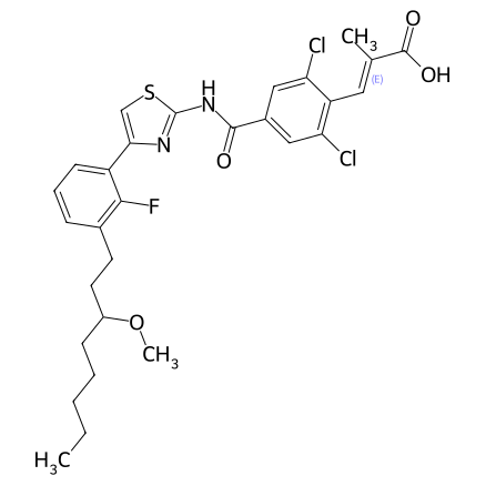 CCCCCC(CCc1cccc(-c2csc(NC(=O)c3cc(Cl)c(/C=C(\C)C(=O)O)c(Cl)c3)n2)c1F)OC